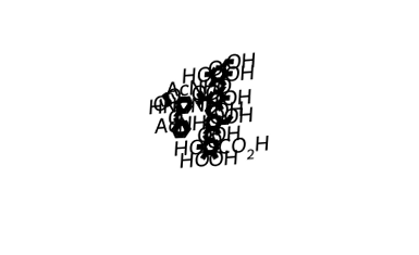 CC(=O)NC1C(O)OC(CO)C(O)C1OC1OC(C(=O)Nc2ccc(NS(C)(=O)=O)c(Oc3ccccc3)c2)C(CC2OC(CO)C(O)C(OC3OC(C(=O)O)C(O)C(O)C3O)C2NC(C)=O)C(O)C1O